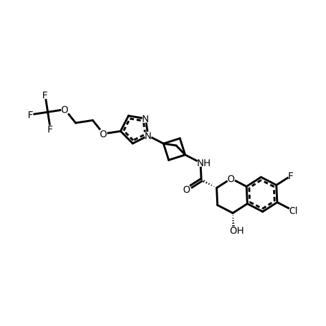 O=C(NC12CC(n3cc(OCCOC(F)(F)F)cn3)(C1)C2)[C@H]1C[C@@H](O)c2cc(Cl)c(F)cc2O1